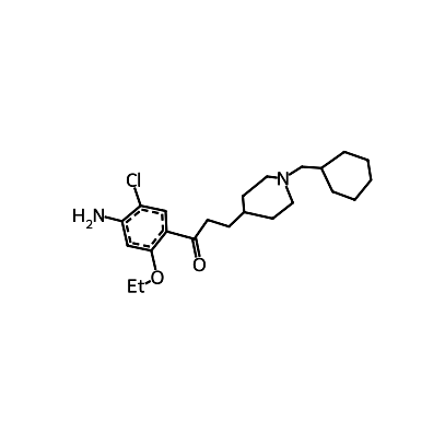 CCOc1cc(N)c(Cl)cc1C(=O)CCC1CCN(CC2CCCCC2)CC1